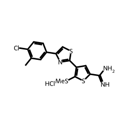 CSc1sc(C(=N)N)cc1-c1nc(-c2ccc(Cl)c(C)c2)cs1.Cl